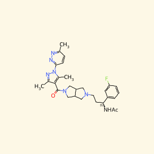 CC(=O)N[C@@H](CCN1CC2CN(C(=O)c3c(C)nn(-c4ccc(C)nn4)c3C)CC2C1)c1cccc(F)c1